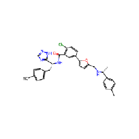 Cc1ccc([C@@H](C)NCc2ccc(-c3ccc(Cl)c(C(=O)N[C@H](Cc4ccc(C#N)cc4)c4ncn[nH]4)c3)o2)cc1